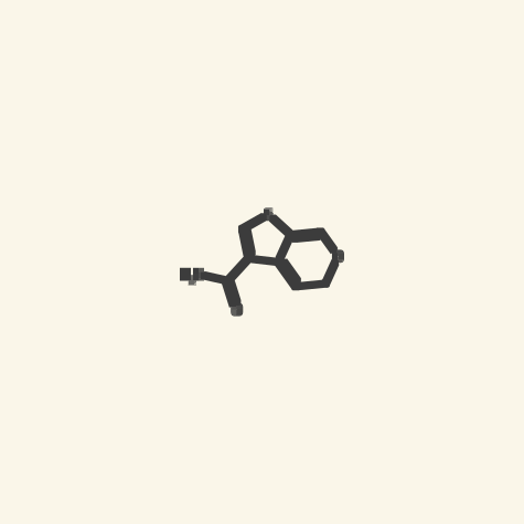 NC(=O)c1csc2c1=CCOC=2